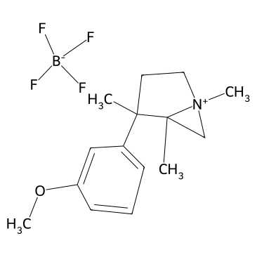 COc1cccc(C2(C)CC[N+]3(C)CC23C)c1.F[B-](F)(F)F